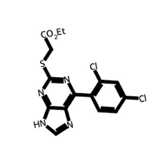 CCOC(=O)CSc1nc(-c2ccc(Cl)cc2Cl)c2nc[nH]c2n1